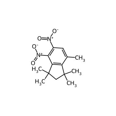 Cc1cc([N+](=O)[O-])c([N+](=O)[O-])c2c1C(C)(C)CC2(C)C